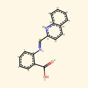 O=C(O)c1ccccc1/N=C/c1ccc2ccccc2n1